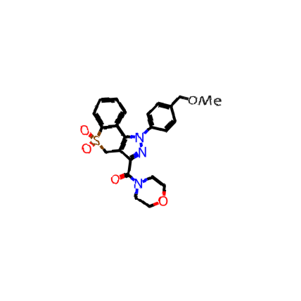 COCc1ccc(-n2nc(C(=O)N3CCOCC3)c3c2-c2ccccc2S(=O)(=O)C3)cc1